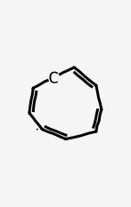 [C]1=CC=CC=CCC=C1